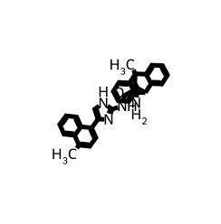 Cc1ccc(-c2c[nH]c(NC(=O)C3(N)CC4(C)c5ccccc5C3c3ccccc34)n2)c2ccccc12